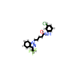 O=C(CCCCn1nc(C(F)(F)F)c2c1CCCC2)Nc1cccc(Cl)c1